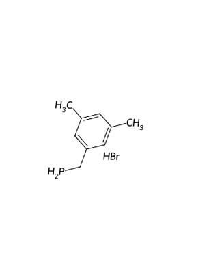 Br.Cc1cc(C)cc(CP)c1